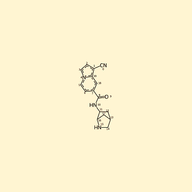 N#Cc1ccn2ccc(C(=O)NC3CC4CNC3C4)cc12